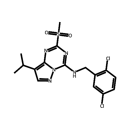 CC(C)c1cnn2c(NCc3cc(Cl)ccc3Cl)nc(S(C)(=O)=O)nc12